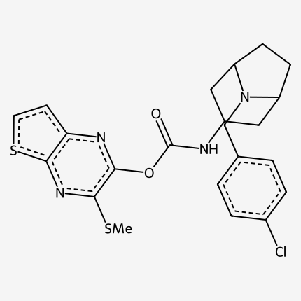 CSc1nc2sccc2nc1OC(=O)NC1CC2CCC(C1)N2Cc1ccc(Cl)cc1